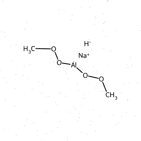 CO[O][Al][O]OC.[H-].[Na+]